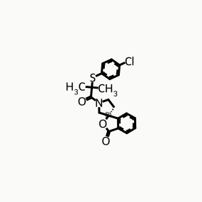 CC(C)(Sc1ccc(Cl)cc1)C(=O)N1CC[C@@]2(C1)OC(=O)c1ccccc12